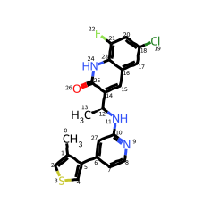 Cc1cscc1-c1ccnc(N[C@@H](C)c2cc3cc(Cl)cc(F)c3[nH]c2=O)c1